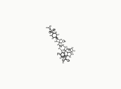 COCC1(CN2CCC([C@@](CN3CCC3)(c3cccc(F)c3)[C@H]3CCC[C@@H]3NC(=O)OC)CC2)CN(c2ccc(S(=O)(=O)C3CC3)cc2)C1